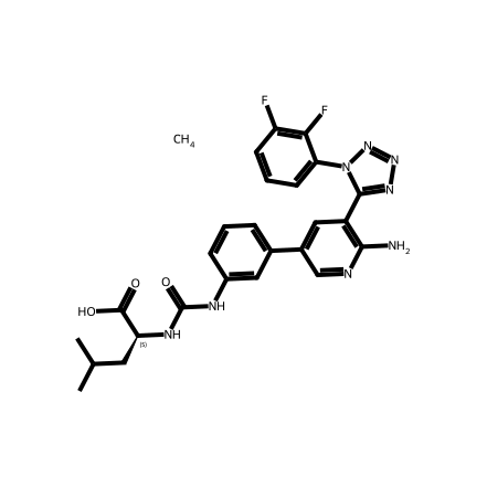 C.CC(C)C[C@H](NC(=O)Nc1cccc(-c2cnc(N)c(-c3nnnn3-c3cccc(F)c3F)c2)c1)C(=O)O